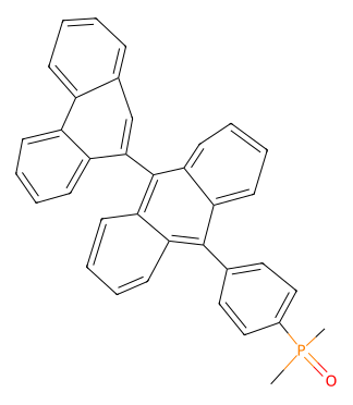 CP(C)(=O)c1ccc(-c2c3ccccc3c(-c3cc4ccccc4c4ccccc34)c3ccccc23)cc1